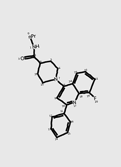 CCCNC(=O)C1CCN(c2cc(-c3ccccc3)nc3c(F)cccc23)CC1